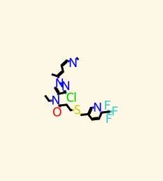 C=N/C=C\C=C(/C)n1cc(N(CC)C(=O)CCSCc2ccc(C(F)(F)F)nc2)c(Cl)n1